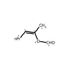 CCCC=C(C)O[C]=O